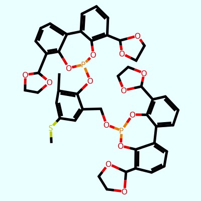 CSc1cc(C)c(Op2oc3c(C4OCCO4)cccc3c3cccc(C4OCCO4)c3o2)c(COp2oc3c(C4OCCO4)cccc3c3cccc(C4OCCO4)c3o2)c1